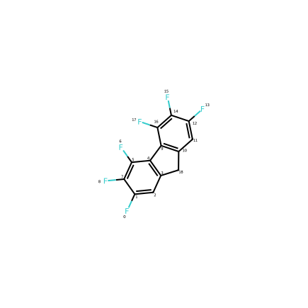 Fc1cc2c(c(F)c1F)-c1c(cc(F)c(F)c1F)C2